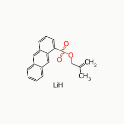 C=C(C)COS(=O)(=O)c1cccc2cc3ccccc3cc12.[LiH]